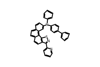 c1ccc(-c2ccc(N(c3ccccc3)c3ccc4ccc5ccc6c(-c7ccccn7)nsc6c5c4c3)cc2)cc1